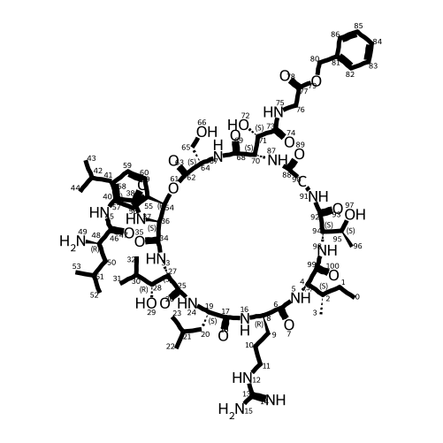 CC[C@H](C)[C@@H]1NC(=O)[C@@H](CCCNC(=N)N)NC(=O)[C@H](CC(C)C)NC(=O)[C@H]([C@H](O)C(C)C)NC(=O)[C@@H](NC(=O)[C@H](CC(C)C)NC(=O)[C@H](N)CC(C)C)[C@@H](c2ccccc2)OC(=O)[C@H](CO)NC(=O)[C@H]([C@H](O)C(=O)NCC(=O)OCc2ccccc2)NC(=O)CNC(=O)[C@H]([C@H](C)O)NC1=O